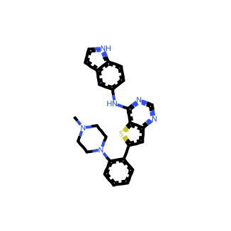 CN1CCN(c2ccccc2-c2cc3ncnc(Nc4ccc5[nH]ccc5c4)c3s2)CC1